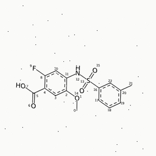 COc1cc(C(=O)O)c(F)cc1NS(=O)(=O)c1cccc(C)c1